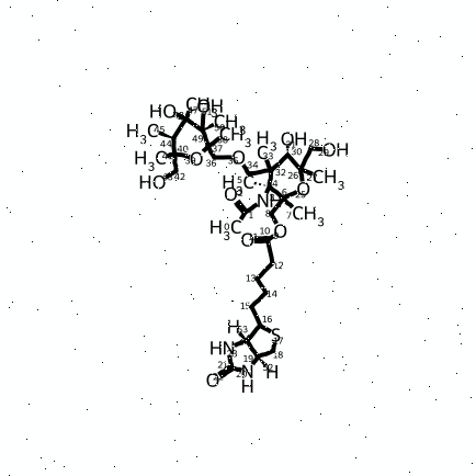 CC(=O)N[C@]1(C)C(C)(COC(=O)CCCCC2SC[C@@H]3NC(=O)N[C@H]23)OC(C)(CO)[C@@H](O)C1(C)COCC1(C)OC(C)(CO)[C@@H](C)C(C)(O)[C@]1(C)O